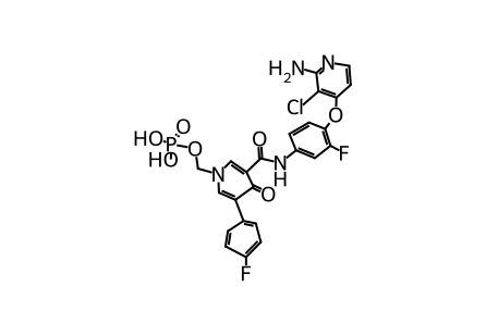 Nc1nccc(Oc2ccc(NC(=O)c3cn(COP(=O)(O)O)cc(-c4ccc(F)cc4)c3=O)cc2F)c1Cl